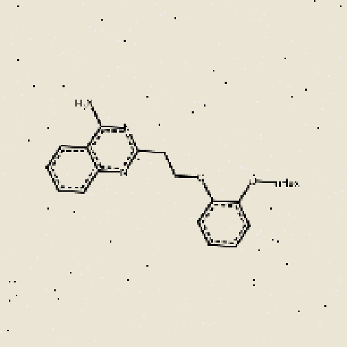 CCCCCCOc1ccccc1OCCc1nc(N)c2ccccc2n1